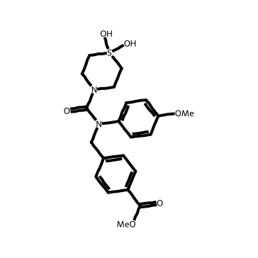 COC(=O)c1ccc(CN(C(=O)N2CCS(O)(O)CC2)c2ccc(OC)cc2)cc1